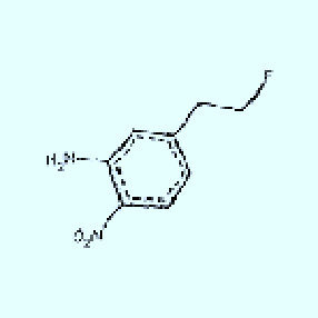 Nc1cc(CCF)ccc1[N+](=O)[O-]